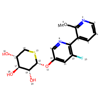 COc1ncccc1-c1ncc(O[C@H]2SC[C@@H](O)[C@H](O)[C@H]2O)cc1F